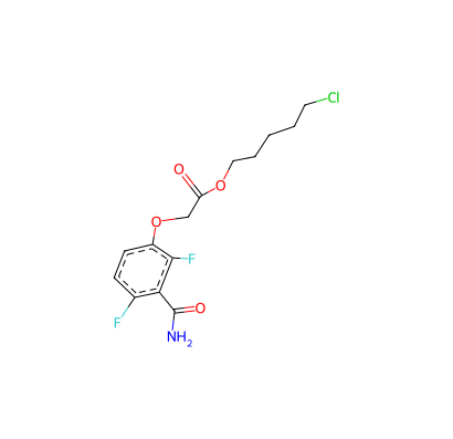 NC(=O)c1c(F)ccc(OCC(=O)OCCCCCCl)c1F